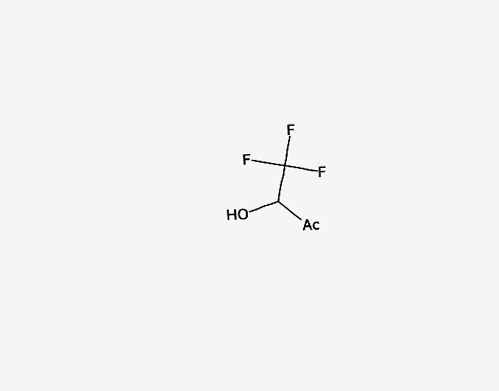 CC(=O)C(O)C(F)(F)F